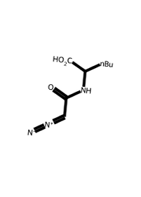 CCCCC(NC(=O)C=[N+]=[N-])C(=O)O